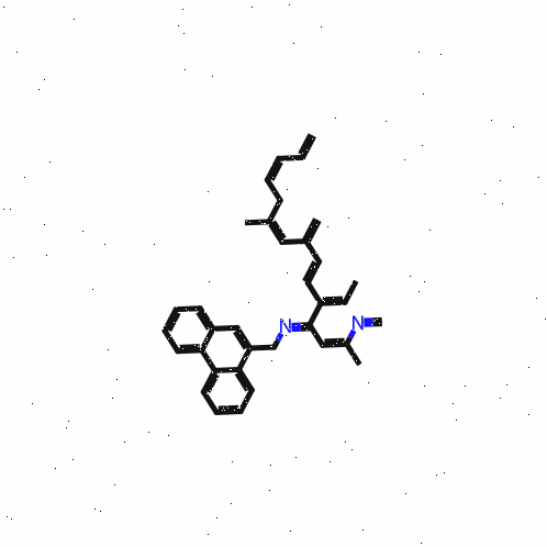 C=C/C=C\C/C(C)=C\C(=C)/C=C/C(=C\C)C(/C=C(/C)N=C)=N/Cc1cc2ccccc2c2ccccc12